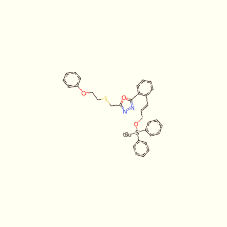 CC(C)(C)[Si](OCC=Cc1ccccc1-c1nnc(CSCCOc2ccccc2)o1)(c1ccccc1)c1ccccc1